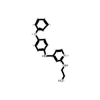 OCCNc1cc(Nc2ccc(Oc3ccccc3)cc2)ccn1